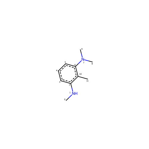 CNc1cccc(N(C)C)c1C